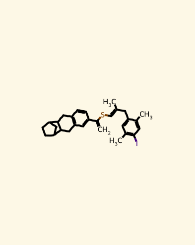 C=C(S/C=C(\C)Cc1cc(C)c(I)cc1C)c1ccc2c(c1)CC1C3CCC(C3)C1C2